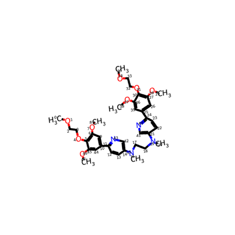 COCCOc1c(OC)cc(-c2ccc(N(C)CCN(C)c3ccc(-c4cc(OC)c(OCCOC)c(OC)c4)nc3)cn2)cc1OC